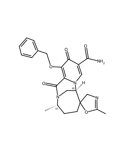 CC1=NCC2(CC[C@H](C)N3C[C@H]2n2cc(C(N)=O)c(=O)c(OCc4ccccc4)c2C3=O)O1